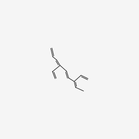 C=C/C=C(C=C)/C=C/C(C=C)=C/C